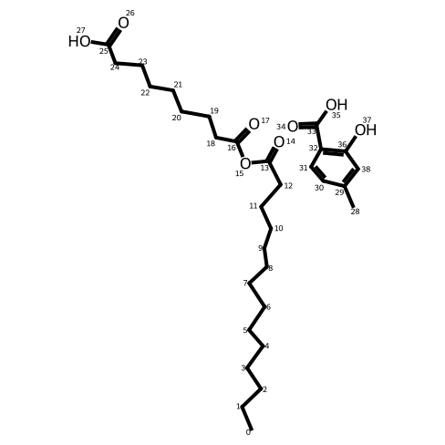 CCCCCCCCCCCCCC(=O)OC(=O)CCCCCCCC(=O)O.Cc1ccc(C(=O)O)c(O)c1